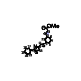 COC(=O)/C=C/c1cccc(SCc2csc(-c3ccccc3)n2)c1